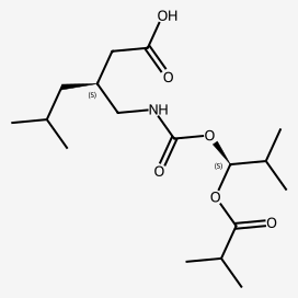 CC(C)C[C@H](CNC(=O)O[C@H](OC(=O)C(C)C)C(C)C)CC(=O)O